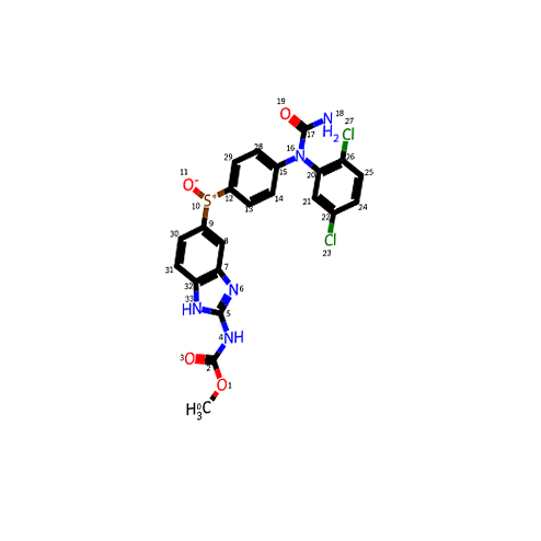 COC(=O)Nc1nc2cc([S+]([O-])c3ccc(N(C(N)=O)c4cc(Cl)ccc4Cl)cc3)ccc2[nH]1